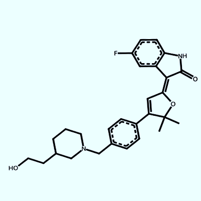 CC1(C)OC(=C2C(=O)Nc3ccc(F)cc32)C=C1c1ccc(CN2CCCC(CCO)C2)cc1